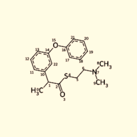 CC(C(=O)SCCN(C)C)c1cccc(Oc2ccccc2)c1